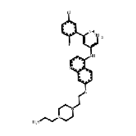 N/C=C(\C=C(/N)c1cc(Cl)ccc1F)Nc1ccnc2cc(OCCN3CCN(CCN)CC3)ccc12